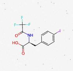 O=C(O)[C@H](Cc1ccc(I)cc1)NC(=O)C(F)(F)F